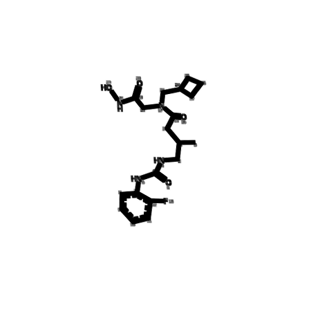 CC(CNC(=O)Nc1ccccc1F)CC(=O)N(CC(=O)NO)CC1CCC1